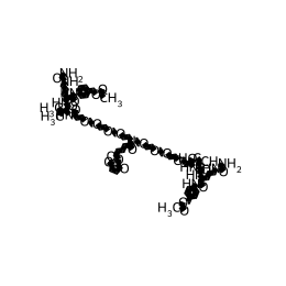 CC(=O)OCc1ccc(NC(=O)C(CCCNC(N)=O)NC(=O)C(NC(=O)CCOCCOCCOCCOCCN(CCOCCOCCOCCOCCC(=O)NC(C(=O)NC(CCCNC(N)=O)C(=O)Nc2ccc(COC(C)=O)cc2)C(C)C)C(=O)CCCC(=O)ON2C(=O)CCC2=O)C(C)C)cc1